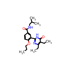 CCCOc1ccc(C(=O)NCC(C)C)cc1-c1nc(CC)c(CC)c(=O)[nH]1